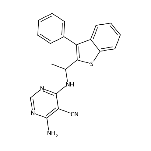 CC(Nc1ncnc(N)c1C#N)c1sc2ccccc2c1-c1ccccc1